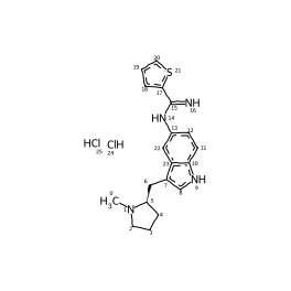 CN1CCC[C@@H]1Cc1c[nH]c2ccc(NC(=N)c3cccs3)cc12.Cl.Cl